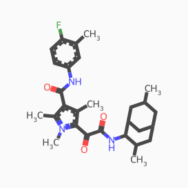 Cc1cc(NC(=O)c2c(C)c(C(=O)C(=O)NC3C(C)CC4CC(C)CC3C4)n(C)c2C)ccc1F